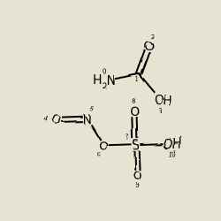 NC(=O)O.O=NOS(=O)(=O)O